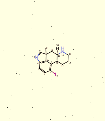 CC12C=Nc3ccc(I)c(c31)C1CCCN[C@@H]1C2